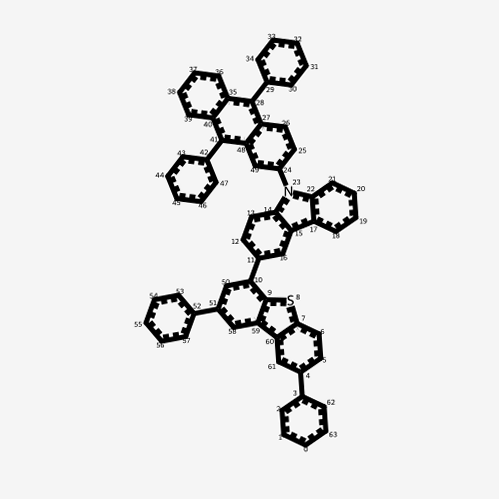 c1ccc(-c2ccc3sc4c(-c5ccc6c(c5)c5ccccc5n6-c5ccc6c(-c7ccccc7)c7ccccc7c(-c7ccccc7)c6c5)cc(-c5ccccc5)cc4c3c2)cc1